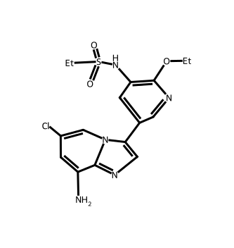 CCOc1ncc(-c2cnc3c(N)cc(Cl)cn23)cc1NS(=O)(=O)CC